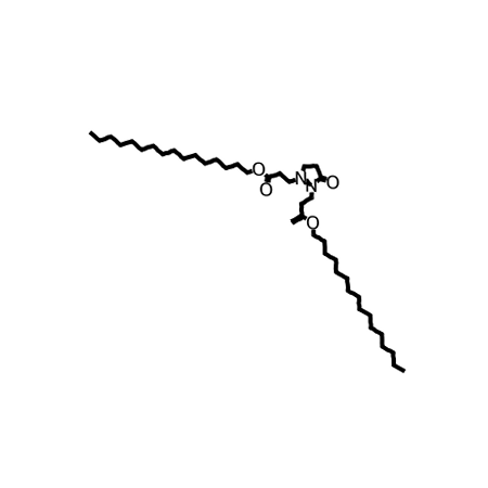 C=C(CCN1C(=O)CCN1CCC(=O)OCCCCCCCCCCCCCCCC)OCCCCCCCCCCCCCCCC